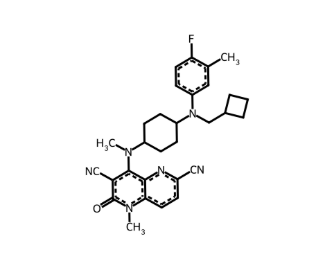 Cc1cc(N(CC2CCC2)C2CCC(N(C)c3c(C#N)c(=O)n(C)c4ccc(C#N)nc34)CC2)ccc1F